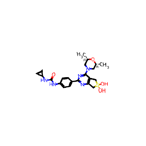 C[C@@H]1CN(c2nc(-c3ccc(NC(=O)NC4CC4)cc3)nc3c2CS(O)(O)C3)C[C@H](C)O1